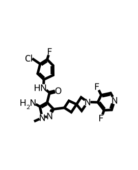 Cn1nc(C2CC3(C2)CN(c2c(F)cncc2F)C3)c(C(=O)Nc2ccc(F)c(Cl)c2)c1N